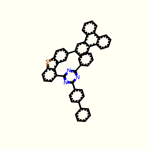 c1ccc(-c2ccc(-c3nc(-c4ccccc4)nc(-c4cccc5sc6ccc(-c7ccc8c9ccccc9c9ccccc9c8c7)cc6c45)n3)cc2)cc1